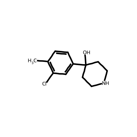 Cc1ccc(C2(O)CCNCC2)cc1Cl